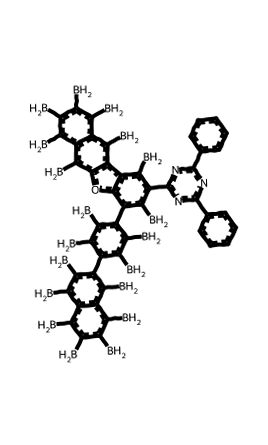 Bc1c(B)c(-c2c(B)c(-c3nc(-c4ccccc4)nc(-c4ccccc4)n3)c(B)c3c2oc2c(B)c4c(B)c(B)c(B)c(B)c4c(B)c23)c(B)c(B)c1-c1c(B)c(B)c2c(B)c(B)c(B)c(B)c2c1B